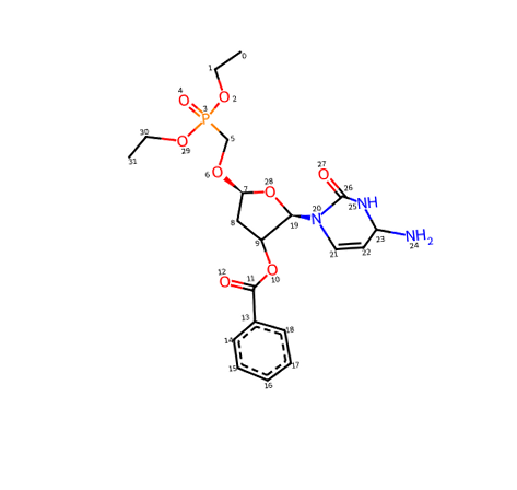 CCOP(=O)(CO[C@@H]1CC(OC(=O)c2ccccc2)[C@H](N2C=CC(N)NC2=O)O1)OCC